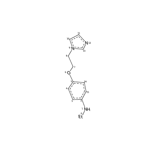 CCNc1ccc(OCCn2ccnc2)cc1